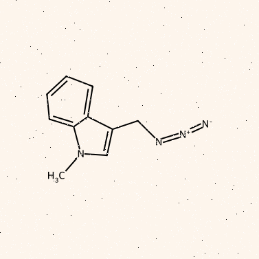 Cn1cc(CN=[N+]=[N-])c2ccccc21